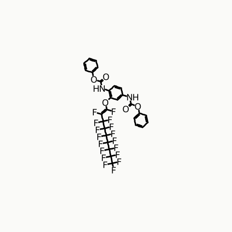 O=C(Nc1ccc(NC(=O)Oc2ccccc2)c(OC(F)=C(F)C(F)(F)C(F)(F)C(F)(F)C(F)(F)C(F)(F)C(F)(F)C(F)(F)F)c1)Oc1ccccc1